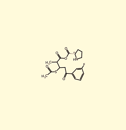 CC(=O)SC(CC(=O)c1cccc(F)c1)C(C)C(=O)OC(=O)[C@@H]1CCCN1